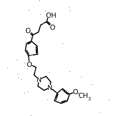 COc1cccc(N2CCN(CCOc3ccc(C(=O)CCC(=O)O)cc3)CC2)c1